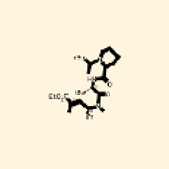 CCCCC(C)N1CCCCC1C(=O)N[C@H](C(=O)N(C)[C@H](/C=C(\C)C(=O)OCC)C(C)C)C(C)(C)C